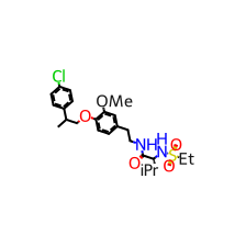 CCS(=O)(=O)N[C@H](C(=O)NCCc1ccc(OCC(C)c2ccc(Cl)cc2)c(OC)c1)C(C)C